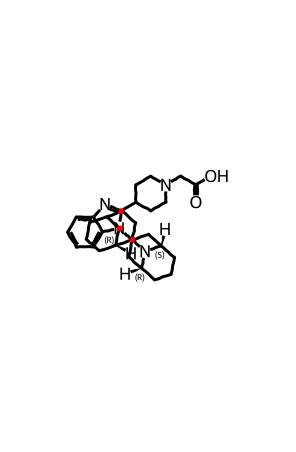 O=C(O)CN1CCC(c2nc3ccccc3n2C2C[C@H]3CCC[C@@H](C2)N3C2CCC3CCC[C@@H]2C3)CC1